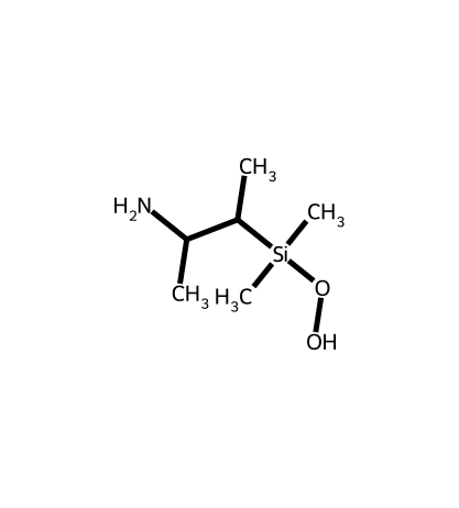 CC(N)C(C)[Si](C)(C)OO